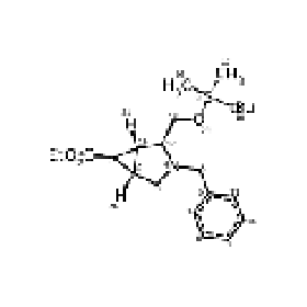 CCOC(=O)[C@@H]1[C@H]2CN(Cc3ccccc3)[C@H](CO[Si](C)(C)C(C)(C)C)[C@H]21